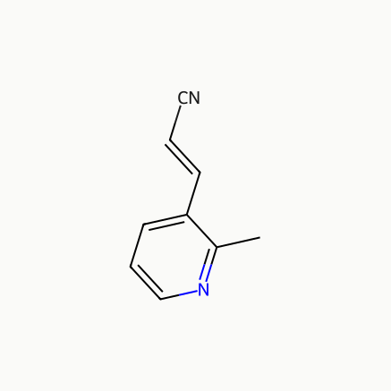 Cc1ncccc1C=CC#N